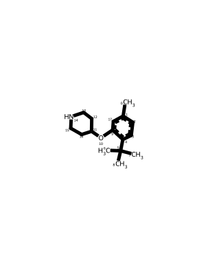 Cc1ccc(C(C)(C)C)c(OC2CCNCC2)c1